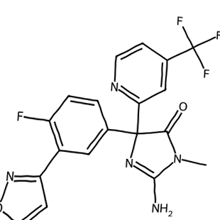 CN1C(=O)C(c2ccc(F)c(-c3ccon3)c2)(c2cc(C(F)(F)F)ccn2)N=C1N